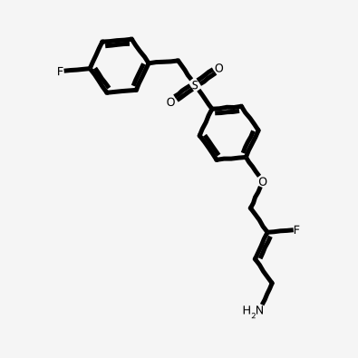 NCC=C(F)COc1ccc(S(=O)(=O)Cc2ccc(F)cc2)cc1